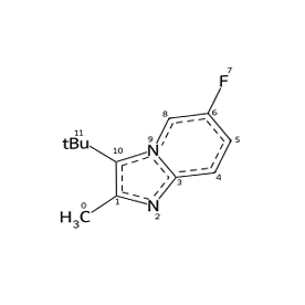 Cc1nc2ccc(F)cn2c1C(C)(C)C